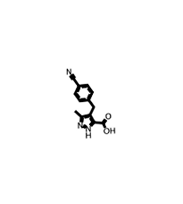 Cc1n[nH]c(C(=O)O)c1Cc1ccc(C#N)cc1